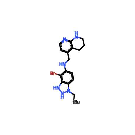 CC(C)(C)CN1NNc2c1ccc(NCc1ccnc3c1CCCN3)c2Br